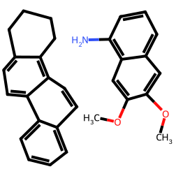 COc1cc2cccc(N)c2cc1OC.c1ccc2c(c1)ccc1c3c(ccc12)CCCC3